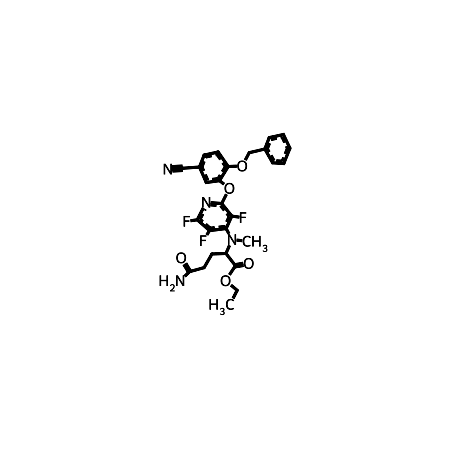 CCOC(=O)C(CCC(N)=O)N(C)c1c(F)c(F)nc(Oc2cc(C#N)ccc2OCc2ccccc2)c1F